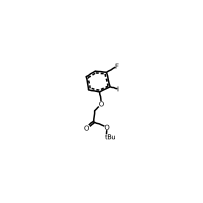 CC(C)(C)OC(=O)COc1cccc(F)c1I